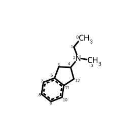 CCN(C)C1Cc2ccccc2C1